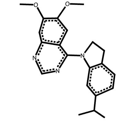 COc1cc2ncnc(N3CCc4ccc(C(C)C)cc43)c2cc1OC